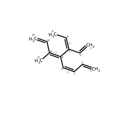 C=C\C=C/C(C(/C=C)=C\C)=C(\C)C=C